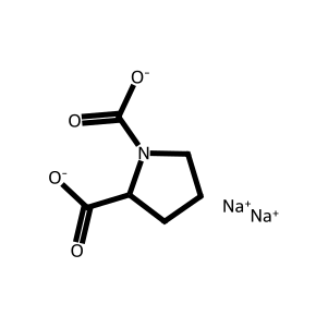 O=C([O-])C1CCCN1C(=O)[O-].[Na+].[Na+]